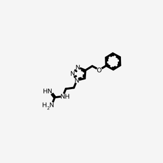 N=C(N)NCCn1cc(COc2ccccc2)nn1